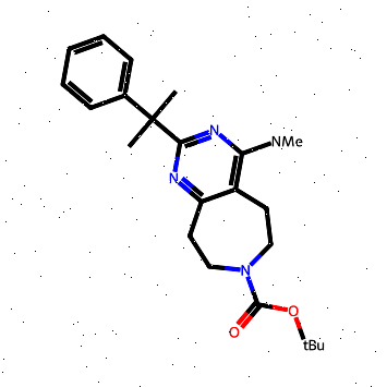 CNc1nc(C(C)(C)c2ccccc2)nc2c1CCN(C(=O)OC(C)(C)C)CC2